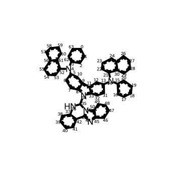 c1ccc(N(c2ccc3c(c2)c2cc(N(c4ccccc4)c4cccc5ccccc45)ccc2n3C2Nc3ccccc3-c3nc4ccccc4n32)c2cccc3ccccc23)cc1